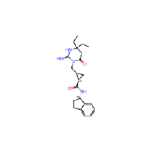 CCC1(CC)CC(=O)N(CC2C[C@H]2C(=O)N[C@H]2CCc3ccccc32)C(=N)N1